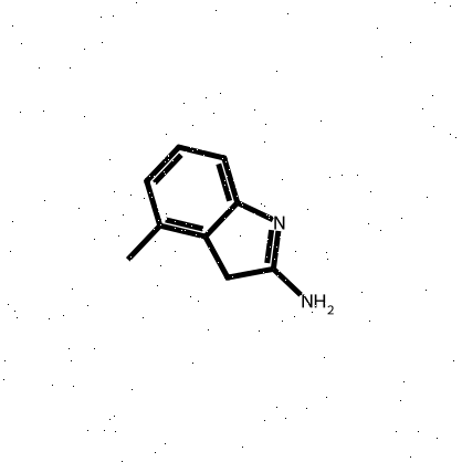 Cc1cccc2c1CC(N)=N2